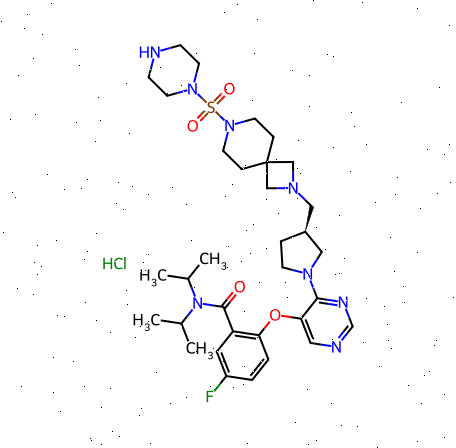 CC(C)N(C(=O)c1cc(F)ccc1Oc1cncnc1N1CC[C@@H](CN2CC3(CCN(S(=O)(=O)N4CCNCC4)CC3)C2)C1)C(C)C.Cl